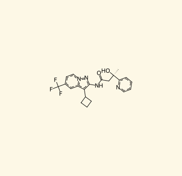 C[C@@](O)(CC(=O)Nc1nn2ccc(C(F)(F)F)cc2c1C1CCC1)c1ccccn1